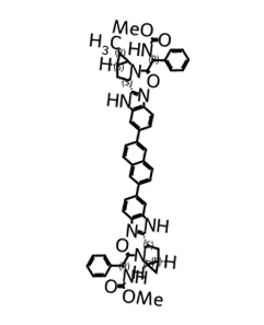 COC(=O)N[C@@H](C(=O)N1C2[C@@H](C[C@H]1c1nc3ccc(-c4ccc5cc(-c6ccc7nc([C@@H]8C[C@H]9C[C@H]9N8C(=O)[C@H](NC(=O)OC)c8ccccc8)[nH]c7c6)ccc5c4)cc3[nH]1)[C@H]2C)c1ccccc1